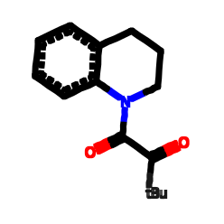 CC(C)(C)C(=O)C(=O)N1CCCc2ccccc21